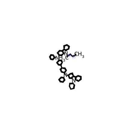 C/C=C\C=C(/C)n1c2ccccc2c2ccc(N(c3ccccc3)c3ccc(-c4ccc(N(c5ccccc5)c5ccc6c7ccccc7n(C7=CCCC=C7)c6c5)cc4)cc3)cc21